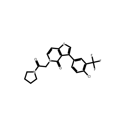 O=C(Cn1ccc2scc(-c3ccc(Cl)c(C(F)(F)F)c3)c2c1=O)N1CCCC1